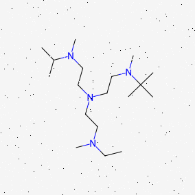 CCN(C)CCN(CCN(C)C(C)C)CCN(C)C(C)(C)C